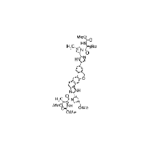 CC[C@H](C)[C@H](NC(=O)OC)C(=O)N1C[C@@H](C)CC1c1ncc(-c2ccc3c(c2)COc2cc4c(ccc5nc([C@@H]6C[C@H](COC)CN6C(=O)[C@@H](NC(=O)OC)C(C)OC)[nH]c54)cc2-3)[nH]1